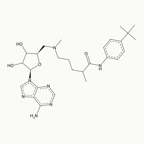 CC(CCCN(C)C[C@H]1O[C@@H](n2cnc3c(N)ncnc32)C(O)C1O)C(=O)Nc1ccc(C(C)(C)C)cc1